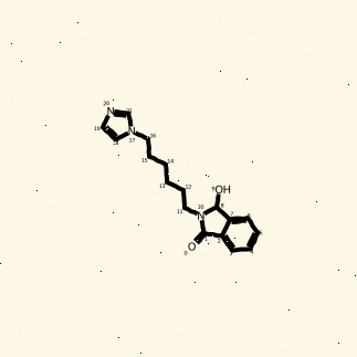 O=C1c2ccccc2C(O)N1CCCCCCn1ccnc1